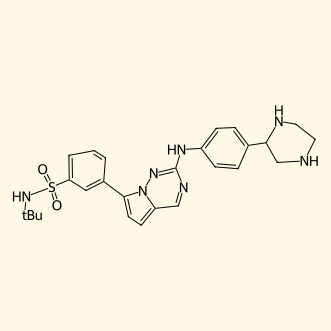 CC(C)(C)NS(=O)(=O)c1cccc(-c2ccc3cnc(Nc4ccc(C5CNCCN5)cc4)nn23)c1